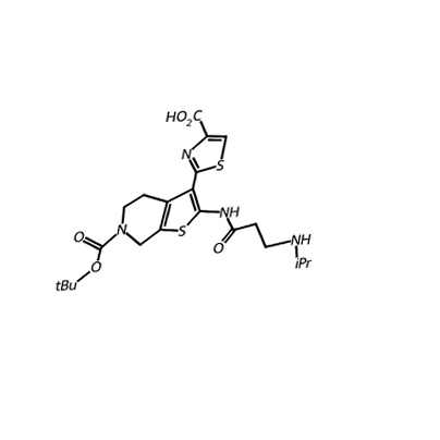 CC(C)NCCC(=O)Nc1sc2c(c1-c1nc(C(=O)O)cs1)CCN(C(=O)OC(C)(C)C)C2